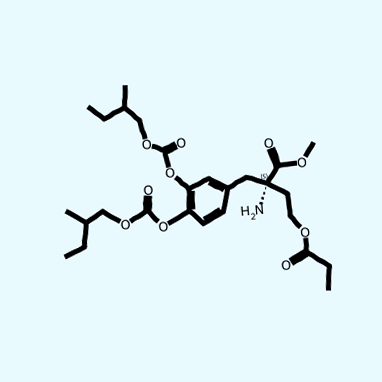 CCC(=O)OCC[C@@](N)(Cc1ccc(OC(=O)OCC(C)CC)c(OC(=O)OCC(C)CC)c1)C(=O)OC